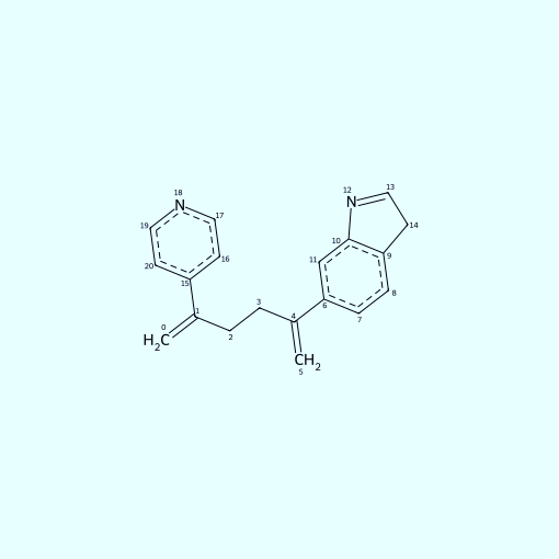 C=C(CCC(=C)c1ccc2c(c1)N=CC2)c1ccncc1